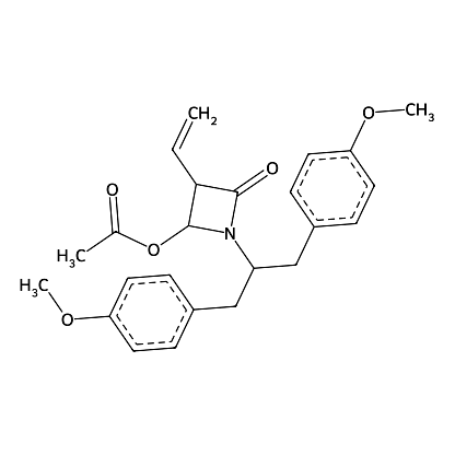 C=CC1C(=O)N(C(Cc2ccc(OC)cc2)Cc2ccc(OC)cc2)C1OC(C)=O